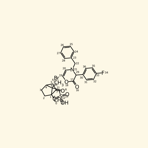 CC12CCC([C@H](Br)C1=O)C2(C)CS(=O)(=O)O.O=C1OC=CN(Cc2ccccc2)C1c1ccc(F)cc1